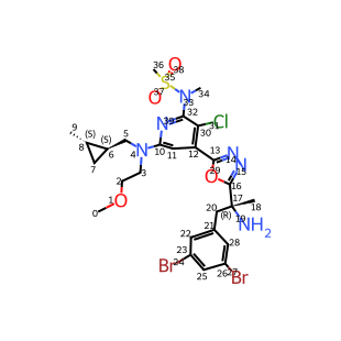 COCCN(C[C@H]1C[C@@H]1C)c1cc(-c2nnc([C@](C)(N)Cc3cc(Br)cc(Br)c3)o2)c(Cl)c(N(C)S(C)(=O)=O)n1